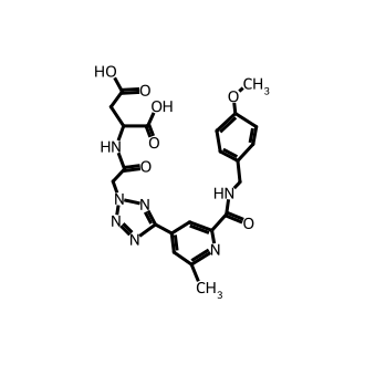 COc1ccc(CNC(=O)c2cc(-c3nnn(CC(=O)NC(CC(=O)O)C(=O)O)n3)cc(C)n2)cc1